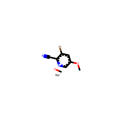 COc1cnc(C#N)c(Br)c1.C[O-].[Na+]